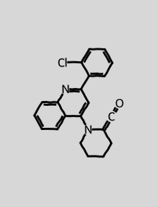 O=C=C1CCCCN1c1cc(-c2ccccc2Cl)nc2ccccc12